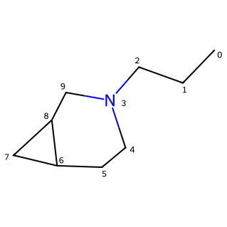 CCCN1CCC2CC2C1